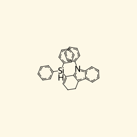 C1=C([SiH](c2ccccc2)c2ccccc2)c2c(c3ccccc3n2-c2ccccc2)CC1